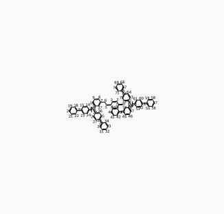 C=C(/C=C\C=C/Cc1cccc(N(c2ccc(-c3ccccc3)cc2)c2ccc(-c3ccccc3)cc2)c1)c1ccccc1-c1cccc(N(c2ccc(-c3ccccc3)cc2)c2ccc(-c3ccccc3)cc2)c1